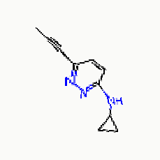 CC#Cc1ccc(NC2CC2)nn1